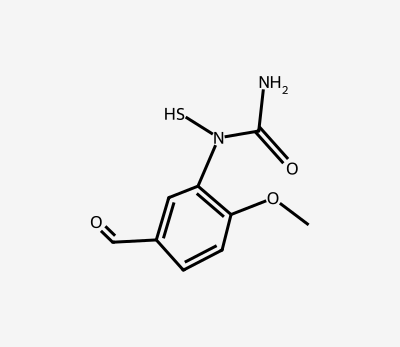 COc1ccc(C=O)cc1N(S)C(N)=O